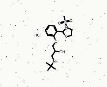 CC(C)(C)NCC(O)COc1ccccc1C1SCCN1S(C)(=O)=O.Cl